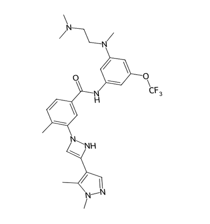 Cc1ccc(C(=O)Nc2cc(OC(F)(F)F)cc(N(C)CCN(C)C)c2)cc1-n1cc(-c2cnn(C)c2C)[nH]1